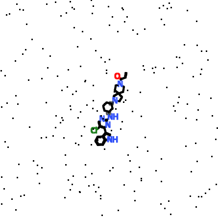 C=CC(=O)N1CCC2(CC1)CCN([C@H]1CCC[C@@H](Nc3ncc(Cl)c(-c4c[nH]c5ccccc45)n3)C1)C2